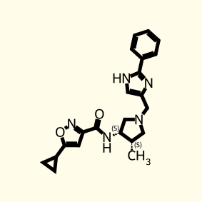 C[C@H]1CN(Cc2c[nH]c(-c3ccccc3)n2)C[C@H]1NC(=O)c1cc(C2CC2)on1